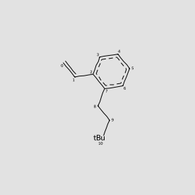 C=Cc1ccccc1CCC(C)(C)C